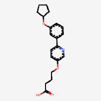 O=C(O)CCCOc1ccc(-c2cccc(OC3CCCC3)c2)nc1